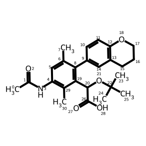 CC(=O)Nc1cc(C)c(-c2ccc3c(c2)CCCO3)c(C(OC(C)(C)C)C(=O)O)c1C